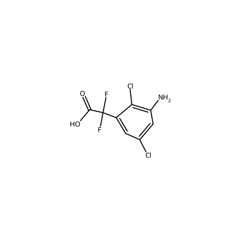 Nc1cc(Cl)cc(C(F)(F)C(=O)O)c1Cl